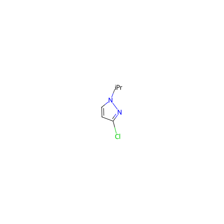 CC(C)n1ccc(Cl)n1